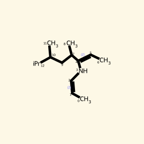 C/C=C\N/C(=C\C)C(C)CC(C)C(C)C